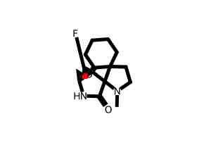 CN1CCC2(CCCCC2=O)C12C(=O)Nc1ccc(F)cc12